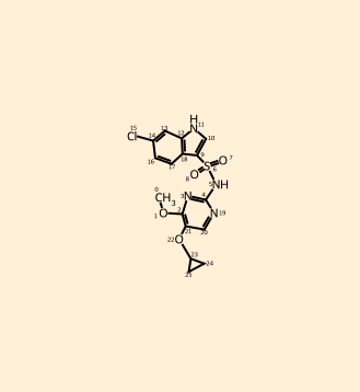 COc1nc(NS(=O)(=O)c2c[nH]c3cc(Cl)ccc23)ncc1OC1CC1